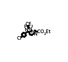 CCOC(=O)c1cn2c(ccc3c(-c4ccc(Cl)cc4)nc(C(F)(F)C(F)(F)F)nc32)n1